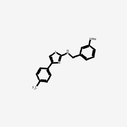 COc1cccc(CNc2nc(-c3ccc(C(F)(F)F)cc3)cs2)c1